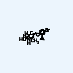 CC(COc1ccc(Br)cc1C1CC1)CC(C)(C)NC(=O)O